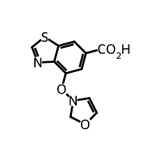 O=C(O)c1cc(ON2C=COC2)c2ncsc2c1